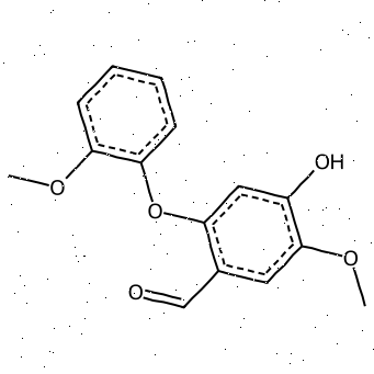 COc1cc(C=O)c(Oc2ccccc2OC)cc1O